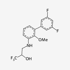 COc1c(NCC(O)C(F)(F)F)cccc1-c1cc(F)cc(F)c1